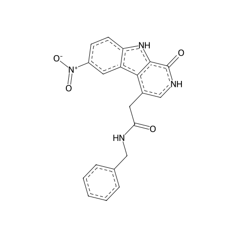 O=C(Cc1c[nH]c(=O)c2[nH]c3ccc([N+](=O)[O-])cc3c12)NCc1ccccc1